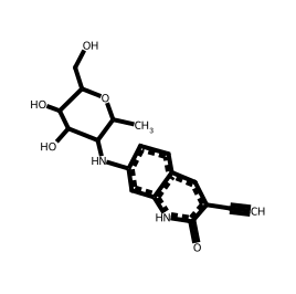 C#Cc1cc2ccc(NC3C(C)OC(CO)C(O)C3O)cc2[nH]c1=O